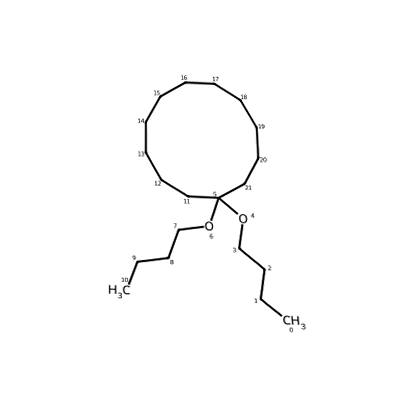 CCCCOC1(OCCCC)CCCCCCCCCCC1